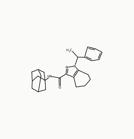 CC(c1ccccc1)n1nc(C(=O)NC23CC4CC(CC(C4)C2)C3)c2c1CCCC2